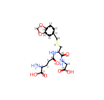 NC(CCC(=O)NC(CSCc1ccc2c(c1)OCO2)C(=O)NCC(=O)O)C(=O)O